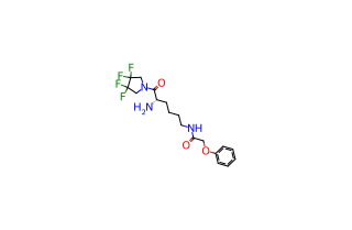 N[C@@H](CCCCNC(=O)COc1ccccc1)C(=O)N1CC(F)(F)C(F)(F)C1